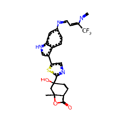 C=N/C(=C\C=N/c1ccc2c(-c3cnc(C4(O)CCC5C(=O)OC5(C)C4)s3)c[nH]c2c1)C(F)(F)F